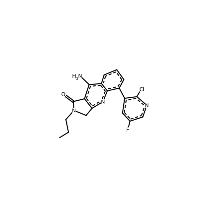 CCCN1Cc2nc3c(-c4cc(F)cnc4Cl)cccc3c(N)c2C1=O